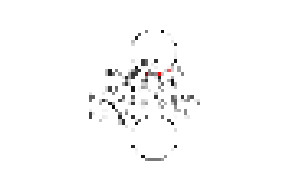 C[Si](C)(C)O[Si](OC1CCCCCCCCCCC1)(O[Si](C)(C)C)O[Si](OC1CCCCCCCCCCC1)(O[Si](C)(C)C)O[Si](C)(C)C